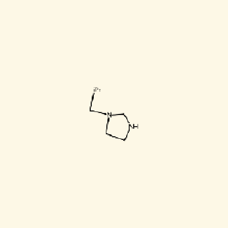 CC(C)CN1CCNC1